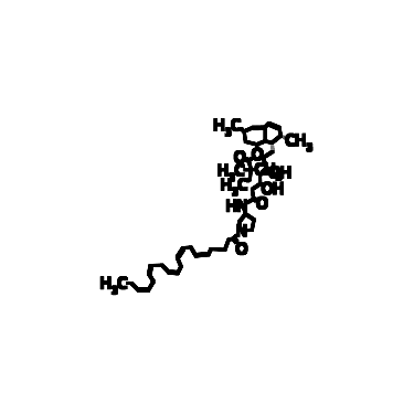 CC/C=C\C/C=C\C/C=C\C/C=C\C/C=C\CCCC(=O)N1CC[C@@H](NC(=O)C[C@H](O)C[C@@H](O)CC[C@@H]2C3C(=C[C@H](C)CC3OC(=O)C(C)(C)CC)C=C[C@@H]2C)C1